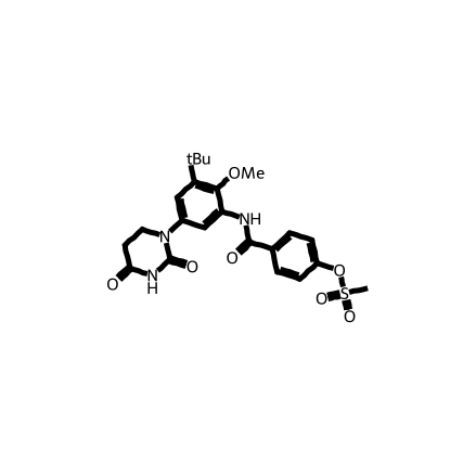 COc1c(NC(=O)c2ccc(OS(C)(=O)=O)cc2)cc(N2CCC(=O)NC2=O)cc1C(C)(C)C